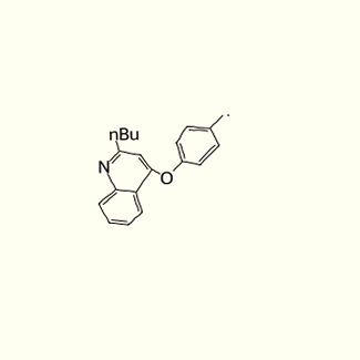 [CH2]c1ccc(Oc2cc(CCCC)nc3ccccc23)cc1